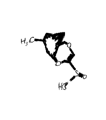 Cc1ccc2c(c1)OC(S(=O)O)=CO2